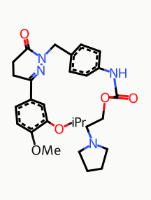 COc1ccc(C2=NN(Cc3ccc(NC(=O)OCCN4CCCC4)cc3)C(=O)CC2)cc1OC(C)C